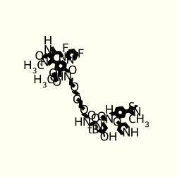 Cc1ncsc1-c1ccc(CNC(=O)[C@@H]2C[C@@H](O)CN2C(=O)[C@@H](NC(=O)COCCOCCOCCNC(=O)c2cc3c(cc2CS(C)(=O)=O)-c2cn(C)c(=O)c4[nH]cc(c24)CN3c2ncc(F)cc2F)C(C)(C)C)c(OC2CCNCC2)c1